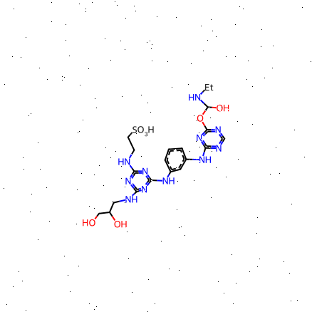 CCNC(O)Oc1ncnc(Nc2cccc(Nc3nc(NCCS(=O)(=O)O)nc(NCC(O)CO)n3)c2)n1